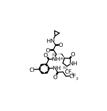 O=C(CCC(F)(F)F)Nc1ccc(Cl)cc1C(=O)N[C@@H](C[C@@H]1C[C@@H](C(F)(F)F)NC1=O)C(=O)C(=O)NC1CC1